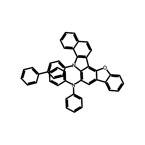 c1ccc(-c2ccc(-n3c4c(N(c5ccccc5)c5ccccc5)cc5c6ccccc6oc5c4c4ccc5ccccc5c43)cc2)cc1